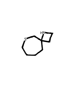 C1CCC2(CCN2)CSC1